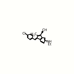 C#CC1=C(C)C(=Cc2ccc(Cl)cc2)c2ccc(NCC)cc21